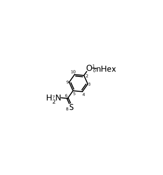 CCCCCCOc1ccc(C(N)=S)cc1